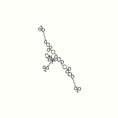 C=CC(=O)OCCCCCCOc1ccc(OC(=O)C2CCC(COc3ccc(OCC4CCC(C(=O)Oc5ccc(OCCCCCCOC(=O)C=C)cc5)CC4)c(/C=N/N(c4nc5ccccc5s4)C(C)CCCOC(=O)C(=C)C)c3)CC2)cc1